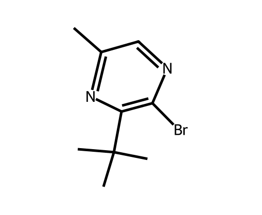 Cc1cnc(Br)c(C(C)(C)C)n1